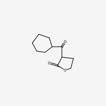 O=C1OCCC1C(=O)C1CCCCC1